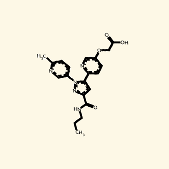 CCCNC(=O)c1cc(-c2ccc(OCC(=O)O)cn2)n(-c2ccc(C)nc2)n1